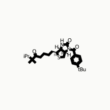 CC(C)C(C)(C)C(=O)CCCC[C@@H]1SC[C@H]2[C@@H]1NC(=O)N2C(=O)c1ccc(C(C)(C)C)cc1